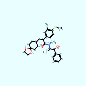 CSc1ccc(C(CC2CCC3(CC2)OCCO3)C(=O)N(C)C(C)C(O)c2ccccc2)cc1Cl